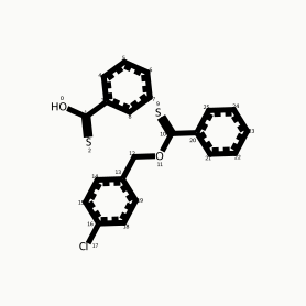 OC(=S)c1ccccc1.S=C(OCc1ccc(Cl)cc1)c1ccccc1